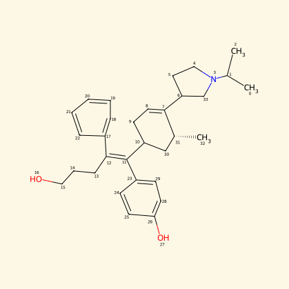 CC(C)N1CCC(C2=CCC(/C(=C(/CCCO)c3ccccc3)c3ccc(O)cc3)C[C@H]2C)C1